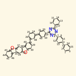 c1ccc(-c2ccc(-c3nc(-c4ccccc4)nc(-c4ccc(-c5cccc(-c6ccc7oc8cc9c(cc8c7c6)oc6ccccc69)c5)cc4)n3)cc2)cc1